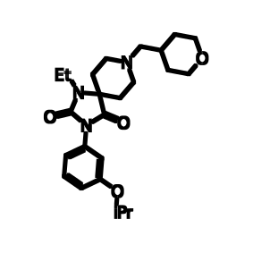 CCN1C(=O)N(c2cccc(OC(C)C)c2)C(=O)C12CCN(CC1CCOCC1)CC2